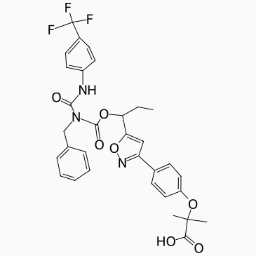 CCC(OC(=O)N(Cc1ccccc1)C(=O)Nc1ccc(C(F)(F)F)cc1)c1cc(-c2ccc(OC(C)(C)C(=O)O)cc2)no1